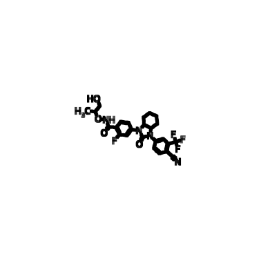 CC(CO)ONC(=O)c1ccc(N2C(=O)N(c3ccc(C#N)c(C(F)(F)F)c3)C3CCCCC32)cc1F